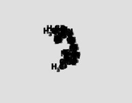 CCN(CC)[C@@H](C(=O)N1CCC[C@H]1C1=NCC(c2ccc(-c3ccc(-c4cnc([C@@H]5CCCN5C(=O)[C@H](Cc5cscn5)NC(=O)OC)[nH]4)cc3)cc2)N1)c1ccccc1